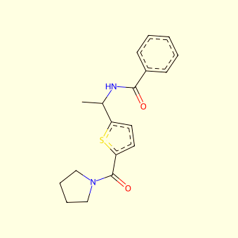 CC(NC(=O)c1ccccc1)c1ccc(C(=O)N2CCCC2)s1